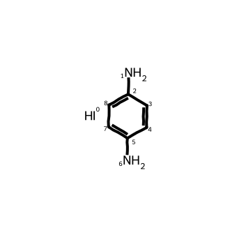 I.Nc1ccc(N)cc1